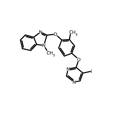 Cc1cc(Oc2ncncc2I)ccc1Oc1nc2ccccc2n1C